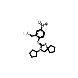 CCc1cc([N+](=O)[O-])ccc1N=C1SC2(CCCC2)CN1C1CCCC1